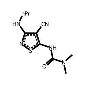 CCCNc1nsc(NC(=O)N(C)C)c1C#N